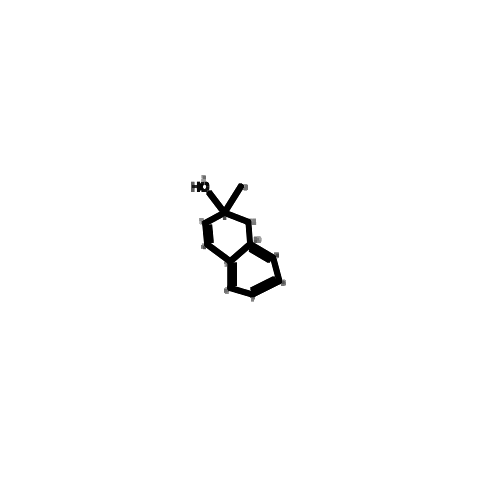 CC1(O)C=Cc2ccccc2C1